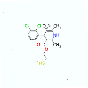 CC1=C(C(=O)OCCS)C(c2cccc(Cl)c2Cl)C([N+](=O)[O-])=C(C)N1